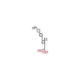 CCCC1CCC(c2ccc(CCc3ccc(CCCC(CO)CO)cc3CC)cc2)CC1